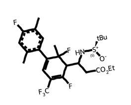 CCOC(=O)CC(N[S@+]([O-])C(C)(C)C)C1C(F)=C(C(F)(F)F)C=C(c2cc(C)c(F)cc2C)C1(C)F